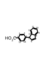 O=C(O)c1ccc(C2C=Cc3ccccc32)cc1